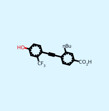 CCCCc1cc(C(=O)O)ccc1C#Cc1ccc(O)cc1C(F)(F)F